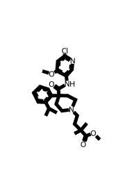 COC(=O)C(C)(C)CCN1CCC(C(=O)Nc2cnc(Cl)cc2OC)(c2ccccc2C(C)C)CC1